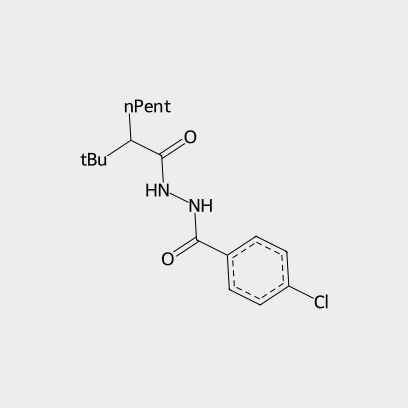 CCCCCC(C(=O)NNC(=O)c1ccc(Cl)cc1)C(C)(C)C